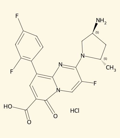 C[C@H]1C[C@H](N)CN1c1nc2c(-c3ccc(F)cc3F)cc(C(=O)O)c(=O)n2cc1F.Cl